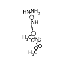 CCOC(=O)CC1CCCN1C(=O)c1ccc(C#CCNc2ccc(C(=N)N)cc2)cc1C